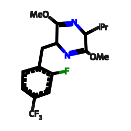 COC1=NC(C(C)C)C(OC)=NC1Cc1ccc(C(F)(F)F)cc1F